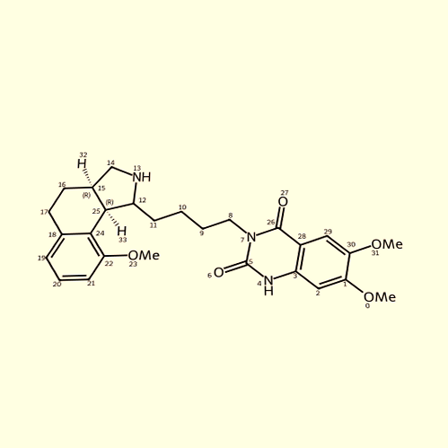 COc1cc2[nH]c(=O)n(CCCCC3NC[C@@H]4CCc5cccc(OC)c5[C@H]34)c(=O)c2cc1OC